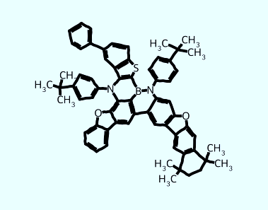 CC(C)(C)c1ccc(N2B3c4sc5ccc(-c6ccccc6)cc5c4N(c4ccc(C(C)(C)C)cc4)c4c3c(cc3c4oc4ccccc43)-c3cc4c(cc32)oc2cc3c(cc24)C(C)(C)CCC3(C)C)cc1